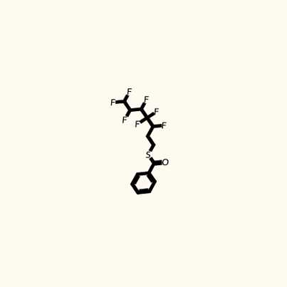 O=C(SCCC(F)C(F)(F)C(F)C(F)C(F)F)c1ccccc1